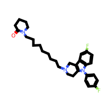 O=C1CCCCN1CCCCCCCCCN1CCc2c(c3cc(F)ccc3n2-c2ccc(F)cc2)C1